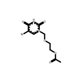 CC(=O)OCCOCn1cc(Br)c(=O)[nH]c1=O